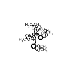 C=C(C)OP(=O)(CN(CCN(Cc1cccc2c1OC(C)(C)OC2)CP(=O)(OC(=C)C)OC(C)(C)C)Cc1cccc2c1OC(C)(C)OC2)OC(C)(C)C